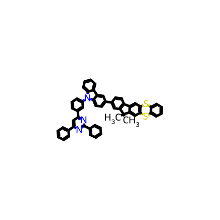 CC1(C)c2cc(-c3ccc4c(c3)c3ccccc3n4-c3cccc(-c4cc(-c5ccccc5)nc(-c5ccccc5)n4)c3)ccc2-c2cc3c(cc21)Sc1ccccc1S3